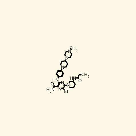 C=CC(=O)N[C@H]1CCCN(c2nc(Nc3ccc(N4CCC(N5CCN(C)CC5)CC4)cc3)c(C(N)=O)nc2CC)C1